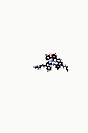 C=C/C=C\C=C/Cc1ccc(-c2ccc3oc4ccccc4c3c2-c2nc(C3=CCC(C/C=C\C=C/C=C)C4C=CC=CC34)nc(-c3ccccc3)n2)cc1